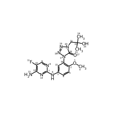 COc1ccc(Nc2ncc(F)c(N)n2)cc1-n1nnn(CC(C)(C)O)c1=O